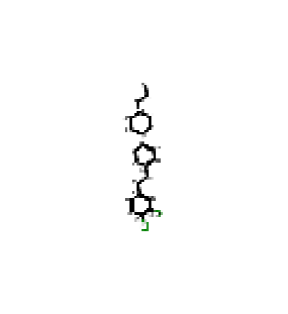 CCC[C@H]1CC[C@H](c2ccc(CCc3ccc(Cl)c(F)c3)cc2)CC1